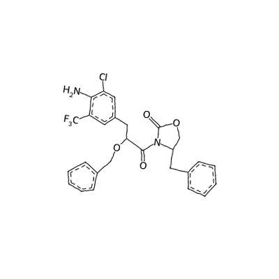 Nc1c(Cl)cc(CC(OCc2ccccc2)C(=O)N2C(=O)OCC2Cc2ccccc2)cc1C(F)(F)F